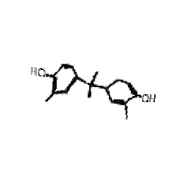 CC1=CC(C(C)(C)c2ccc(O)c(C)c2)CC=C1O